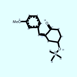 COc1cccc(/C=C2/CC(O[Si](C)(C)C)CCC2=O)c1